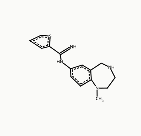 CN1CCNCc2cc(NC(=N)c3cccs3)ccc21